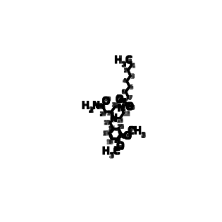 CCCCCCCCS(=O)(=O)N1CCN(Cc2ccc(OC)c(OC)c2)C(CC(N)=O)C1